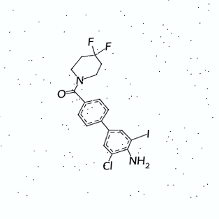 Nc1c(Cl)cc(-c2ccc(C(=O)N3CCC(F)(F)CC3)cc2)cc1I